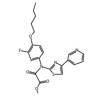 CCCCCOc1ccc(N(C(=O)C(=O)OC)c2nc(-c3cccnc3)cs2)cc1F